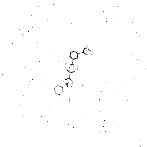 Cn1cc(-c2cccc(-c3ncc(-c4cnn(C5CCCC(O)C5)c4)cn3)c2)cn1